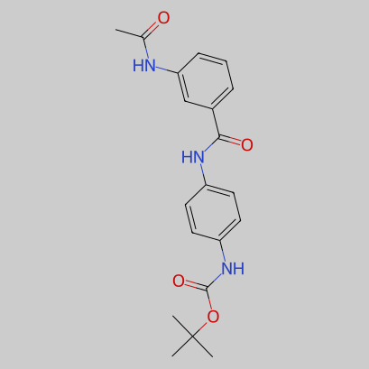 CC(=O)Nc1cccc(C(=O)Nc2ccc(NC(=O)OC(C)(C)C)cc2)c1